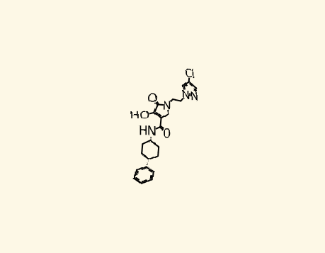 O=C(N[C@H]1CC[C@@H](c2ccccc2)CC1)C1=C(O)C(=O)N(CCn2cc(Cl)cn2)C1